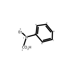 CCN(C(=O)O)c1ccccc1